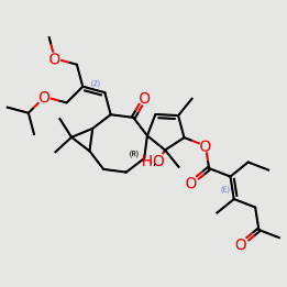 CC/C(C(=O)OC1C(C)=CC2(C(=O)C(/C=C(/COC)COC(C)C)C3C(CC[C@H]2C)C3(C)C)C1(C)O)=C(/C)CC(C)=O